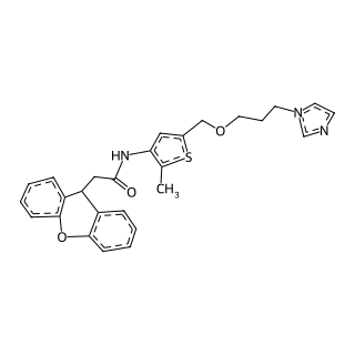 Cc1sc(COCCCn2ccnc2)cc1NC(=O)CC1c2ccccc2Oc2ccccc21